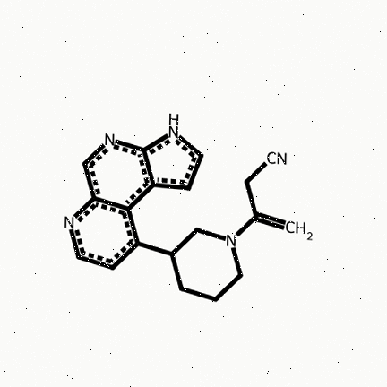 C=C(CC#N)N1CCCC(c2ccnc3cnc4[nH]ccc4c23)C1